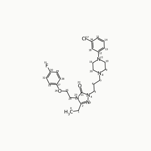 CCc1nn(CCCN2CCN(c3cccc(Cl)c3)CC2)c(=O)n1CCOc1ccc(F)cc1